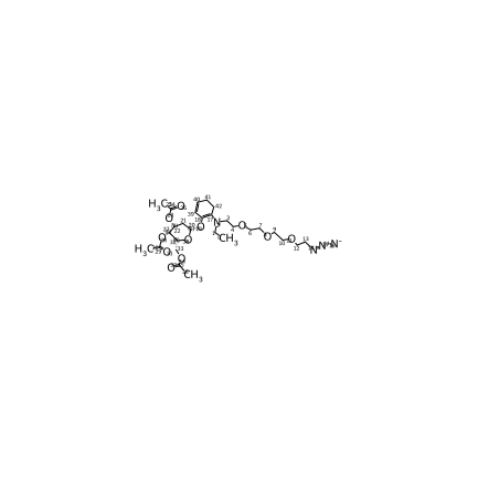 CCN(CCOCCOCCOCCN=[N+]=[N-])C1=C(O[C@H]2C[C@@H](OC(C)=O)[C@@H](OC(C)=O)[C@@H](COC(C)=O)O2)C=CCC1